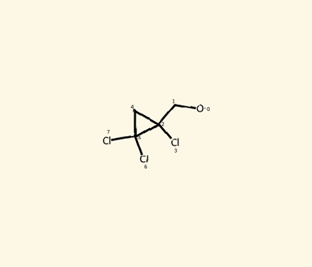 [O]CC1(Cl)CC1(Cl)Cl